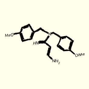 COc1ccc(CN(Cc2ccc(OC)cc2)C(=N)/C=C/N)cc1